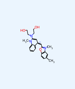 Cc1ccc2oc(/C=C3/C=C(N(CCO)CCO)N(C)c4ccccc43)[n+](C)c2c1